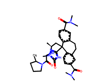 C[C@@H](CC1(c2nn(C)c(=O)[nH]2)c2ccc(C(=O)N(C)C)cc2CCc2cc(C(=O)N(C)C)ccc21)NCC(=O)N1CCCC1C#N